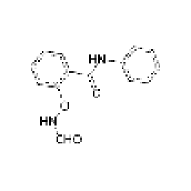 O=CNOc1ccccc1C(=O)Nc1ccccc1